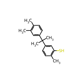 Cc1ccc(C(C)(C)c2ccc(C)c(S)c2)cc1C